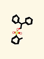 Cc1ccccc1S(=O)(=O)OCC(c1ccccc1)c1ccccc1